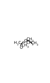 CCCC(C)(C)OCCC(C)(C)C[O]